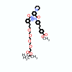 COC(=O)c1ccc(CCc2ccc(NC(=O)c3cc(N4CCCCC4)ccc3NC(=O)c3cccc(CCCOCCOCCOCCOCCC(=O)OC(C)(C)C)c3)cc2)cc1